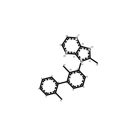 Cc1ccccc1-c1cccc(-n2c(C)nc3nccnc32)c1C